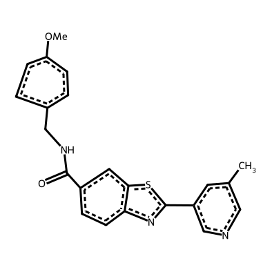 COc1ccc(CNC(=O)c2ccc3nc(-c4cncc(C)c4)sc3c2)cc1